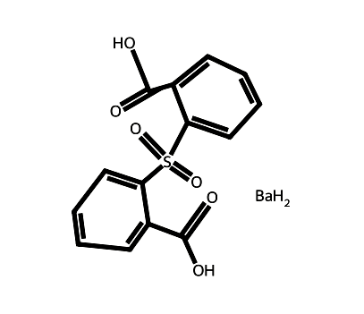 O=C(O)c1ccccc1S(=O)(=O)c1ccccc1C(=O)O.[BaH2]